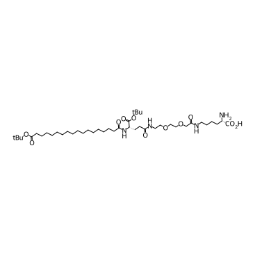 CC(C)(C)OC(=O)CCCCCCCCCCCCCCCCC(=O)N[C@@H](CCC(=O)NCCOCCOCC(=O)NCCCC[C@H](N)C(=O)O)C(=O)OC(C)(C)C